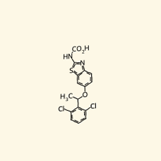 CC(Oc1ccc2nc(NC(=O)O)sc2c1)c1c(Cl)cccc1Cl